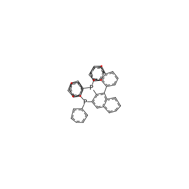 c1ccc(P(c2ccccc2)c2cc3ccccc3c(-c3cccc4ccccc34)c2P(c2ccccc2)c2ccccc2)cc1